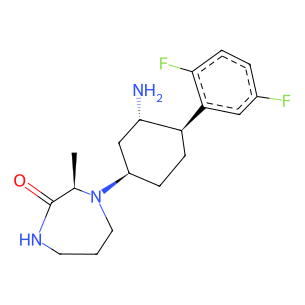 C[C@@H]1C(=O)NCCCN1[C@@H]1CC[C@H](c2cc(F)ccc2F)[C@@H](N)C1